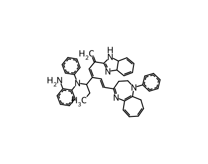 C=C(/C=C(\C=C\C1=NC2=C(CC=CC=C2)N(c2ccccc2)CC1)C(CC)N(c1ccccc1)c1ccccc1N)C1=NC2C=CC=CC2N1